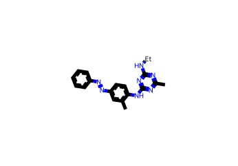 CCNc1nc(C)nc(Nc2ccc(N=Nc3ccccc3)cc2C)n1